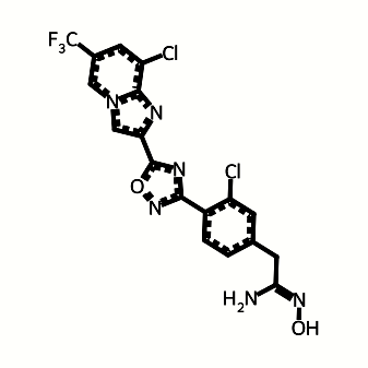 N/C(Cc1ccc(-c2noc(-c3cn4cc(C(F)(F)F)cc(Cl)c4n3)n2)c(Cl)c1)=N\O